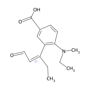 CC/C(=C/C=O)c1cc(C(=O)O)ccc1N(C)CC